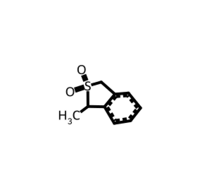 CC1c2ccccc2CS1(=O)=O